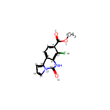 COC(=O)c1ccc2c([nH]c(=O)n3cccc23)c1F